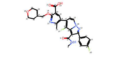 CNC(=O)c1c(-c2ccc(F)cc2)nn2ccc(-c3cc(C(=O)O)c(OCC4CCOCC4)nc3C)c(F)c12